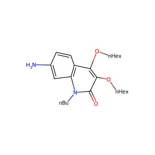 CCCCCCOc1c(OCCCCCC)c2ccc(N)cc2n(CCCC)c1=O